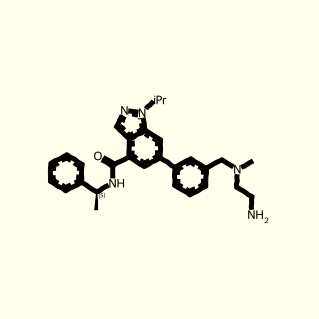 CC(C)n1ncc2c(C(=O)N[C@@H](C)c3ccccc3)cc(-c3cccc(CN(C)CCN)c3)cc21